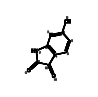 N#Cc1ccc2c(n1)NC(=O)C2=O